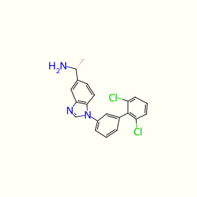 C[C@@H](N)c1ccc2c(c1)ncn2-c1cccc(-c2c(Cl)cccc2Cl)c1